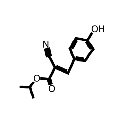 CC(C)OC(=O)/C(C#N)=C/c1ccc(O)cc1